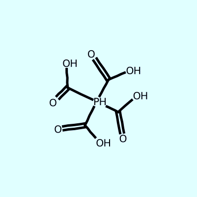 O=C(O)[PH](C(=O)O)(C(=O)O)C(=O)O